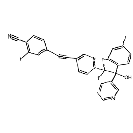 N#Cc1ccc(C#Cc2ccc(C(F)(F)C(O)(c3cncnc3)c3ccc(F)cc3F)nc2)cc1F